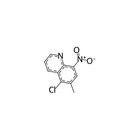 Cc1cc([N+](=O)[O-])c2ncccc2c1Cl